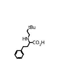 CC(C)(C)CCNC(CCc1ccccc1)C(=O)O